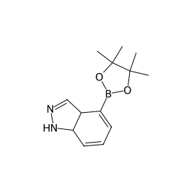 CC1(C)OB(C2=CC=CC3NN=CC23)OC1(C)C